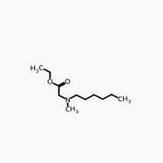 [CH2]COC(=O)CN(C)CCCCCC